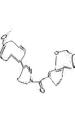 COc1ccc(C2=NN(C(=O)c3ccc4c(c3)OCO4)CC2)cn1